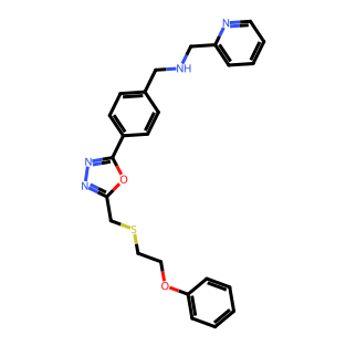 c1ccc(OCCSCc2nnc(-c3ccc(CNCc4ccccn4)cc3)o2)cc1